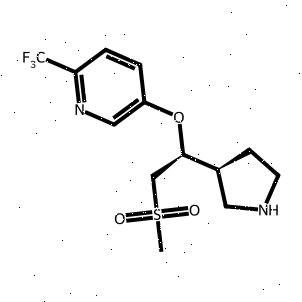 CS(=O)(=O)C[C@@H](Oc1ccc(C(F)(F)F)nc1)[C@H]1CCNC1